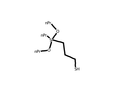 CCCO[Si](CCC)(CCCS)OCCC